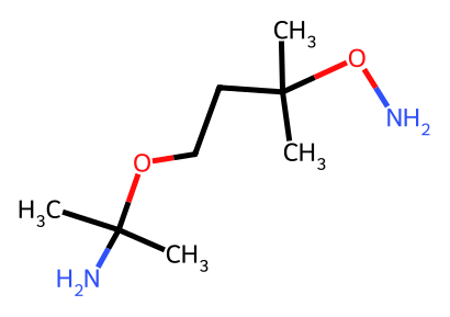 CC(C)(N)OCCC(C)(C)ON